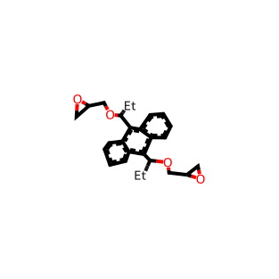 CCC(OCC1CO1)c1c2ccccc2c(C(CC)OCC2CO2)c2ccccc12